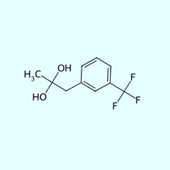 CC(O)(O)Cc1cccc(C(F)(F)F)c1